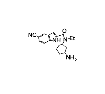 CCN(C(=O)c1cc2cc(C#N)ccc2[nH]1)C1CCCC(N)C1